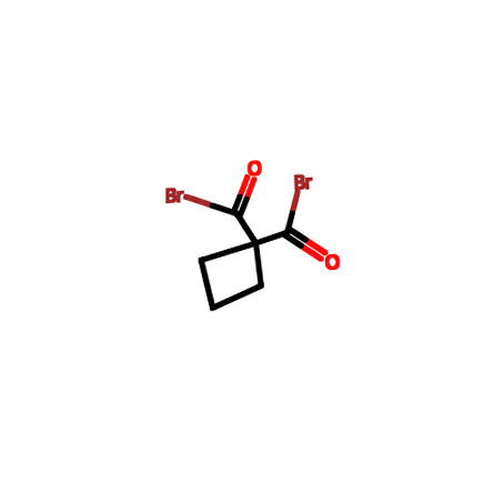 O=C(Br)C1(C(=O)Br)CCC1